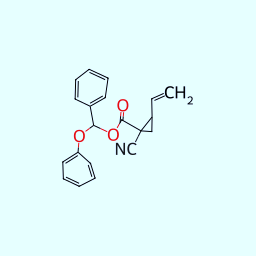 C=CC1CC1(C#N)C(=O)OC(Oc1ccccc1)c1ccccc1